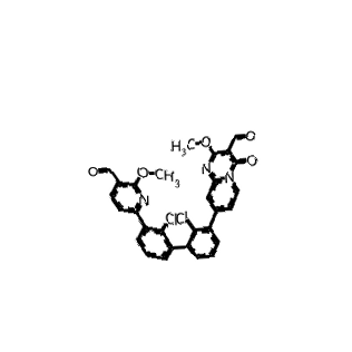 COc1nc(-c2cccc(-c3cccc(-c4ccn5c(=O)c(C=O)c(OC)nc5c4)c3Cl)c2Cl)ccc1C=O